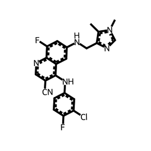 Cc1c(CNc2cc(F)c3ncc(C#N)c(Nc4ccc(F)c(Cl)c4)c3c2)ncn1C